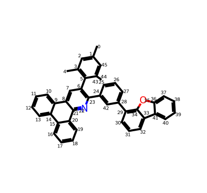 Cc1cc(C)c(-c2cc3c4ccccc4c4ccccc4c3nc2-c2cccc(-c3cccc4c3oc3ccccc34)c2)c(C)c1